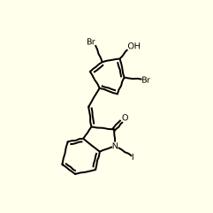 O=C1C(=Cc2cc(Br)c(O)c(Br)c2)c2ccccc2N1I